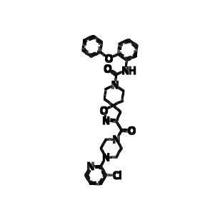 O=C(Nc1ccccc1Oc1ccccc1)N1CCC2(CC1)CC(C(=O)N1CCN(c3ncccc3Cl)CC1)=NO2